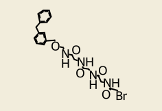 O=C(CBr)NCC(=O)NCC(=O)NCC(=O)NCOCc1cccc(Cc2ccccc2)c1